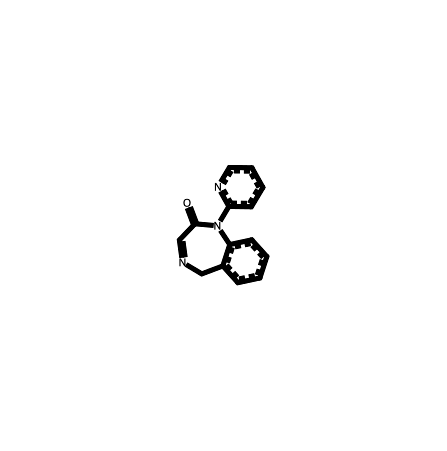 O=C1C=NCc2ccccc2N1c1ccccn1